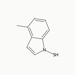 Cc1cccc2c1ccn2S